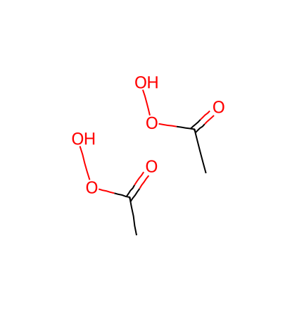 CC(=O)OO.CC(=O)OO